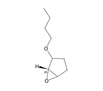 CCCCOC1CCC2O[C@H]12